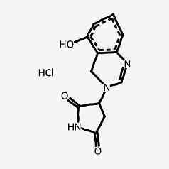 Cl.O=C1CC(N2C=Nc3cccc(O)c3C2)C(=O)N1